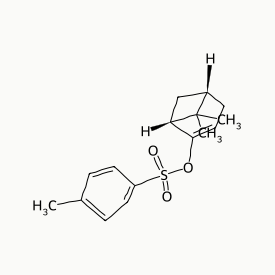 Cc1ccc(S(=O)(=O)OC2=CC[C@H]3C[C@@H]2C3(C)C)cc1